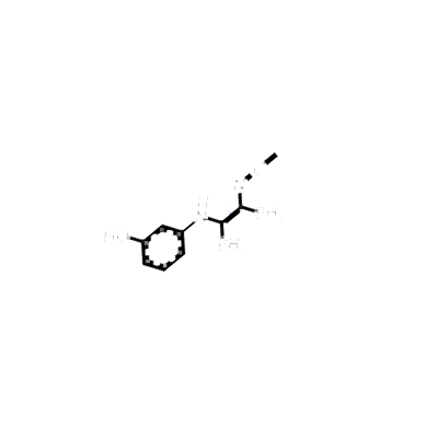 B/C(N=C=C)=C(\B)Nc1cccc(O)c1